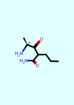 CCCC(C(N)=O)C(=O)[C@H](C)N